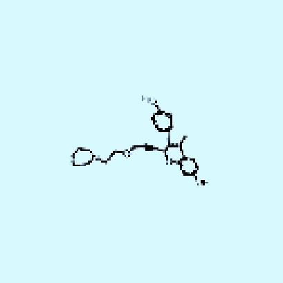 CC1=C(c2ccc(O)cc2)C(C#CCOCCN2CCCCC2)Oc2cc(O)ccc21